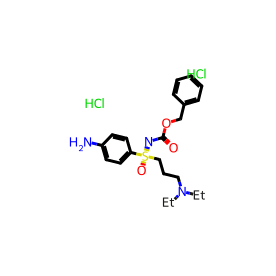 CCN(CC)CCCS(=O)(=NC(=O)OCc1ccccc1)c1ccc(N)cc1.Cl.Cl